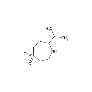 CC(C)C1CCS(=O)(=O)CCN1